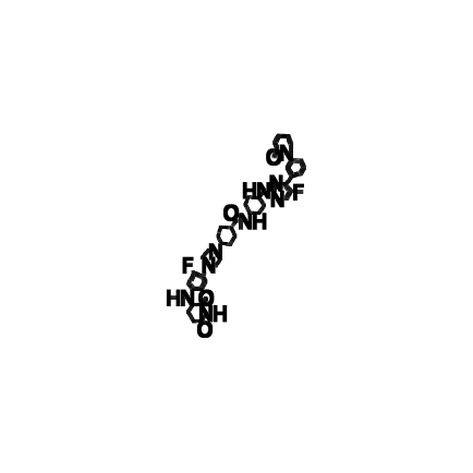 O=C1CCC(Nc2ccc(N3CCN([C@H]4CC[C@H](C(=O)NC5CCC(Nc6ncc(F)c(-c7cccc(-n8ccccc8=O)c7)n6)CC5)CC4)CC3)c(F)c2)C(=O)N1